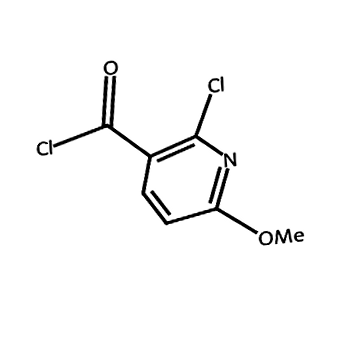 COc1ccc(C(=O)Cl)c(Cl)n1